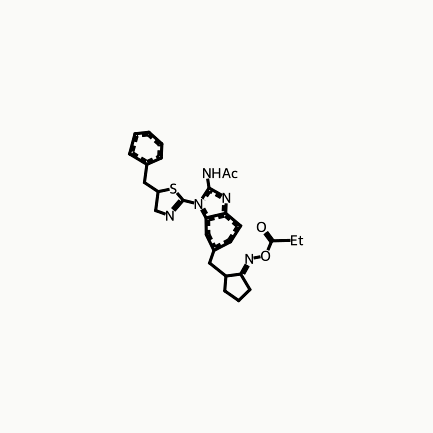 CCC(=O)ON=C1CCCC1Cc1ccc2nc(NC(C)=O)n(C3=NCC(Cc4ccccc4)S3)c2c1